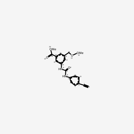 C#Cc1ccc(NC(=O)Nc2cc(COOC)cc(C(=O)OC)c2)cc1